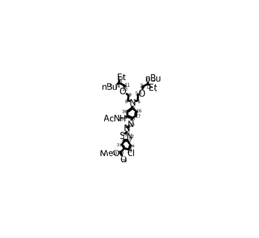 CCCCC(CC)COCCN(CCOCC(CC)CCCC)c1ccc(N=Nc2nc3cc(Cl)c(C(=O)OC)cc3s2)c(NC(C)=O)c1